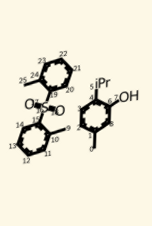 Cc1ccc(C(C)C)c(O)c1.Cc1ccccc1S(=O)(=O)c1ccccc1C